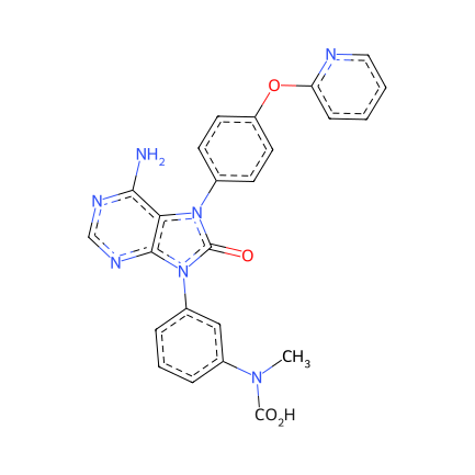 CN(C(=O)O)c1cccc(-n2c(=O)n(-c3ccc(Oc4ccccn4)cc3)c3c(N)ncnc32)c1